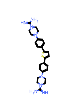 N=C(N)N1CCN(c2ccc(-c3ccc(-c4ccc(N5CCN(C(=N)N)CC5)cc4)s3)cc2)CC1